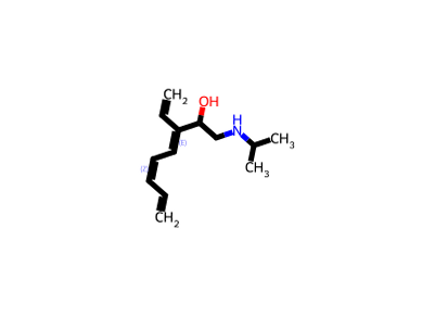 C=C/C=C\C=C(/C=C)C(O)CNC(C)C